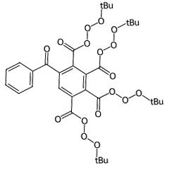 CC(C)(C)OOOC(=O)c1cc(C(=O)c2ccccc2)c(C(=O)OOOC(C)(C)C)c(C(=O)OOOC(C)(C)C)c1C(=O)OOOC(C)(C)C